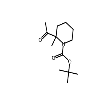 CC(=O)C1(C)CCCCN1C(=O)OC(C)(C)C